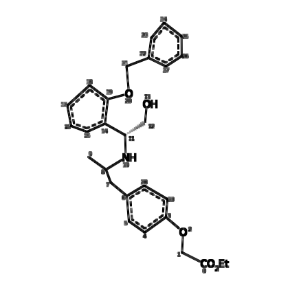 CCOC(=O)COc1ccc(CC(C)N[C@@H](CO)c2ccccc2OCc2ccccc2)cc1